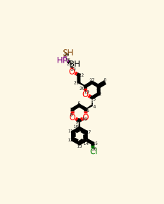 C=C1C[C@H](C[C@@H]2CCO[C@H](c3cccc(CCl)c3)O2)O[C@@H](CCOBPS)C1